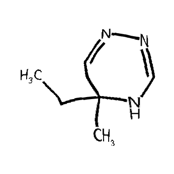 CCC1(C)C=NN=CN1